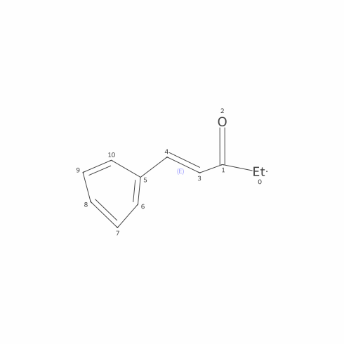 C[CH]C(=O)/C=C/c1ccccc1